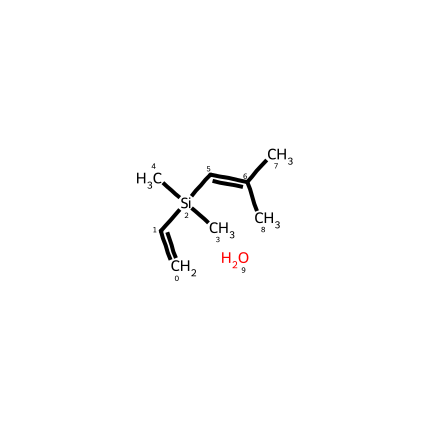 C=C[Si](C)(C)C=C(C)C.O